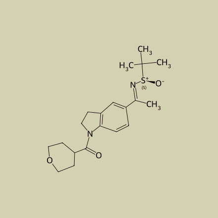 CC(=N[S@+]([O-])C(C)(C)C)c1ccc2c(c1)CCN2C(=O)C1CCOCC1